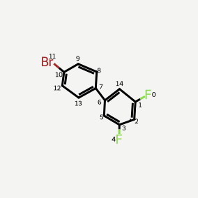 Fc1[c]c(F)cc(-c2ccc(Br)cc2)c1